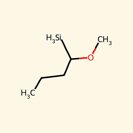 CCCC([SiH3])OC